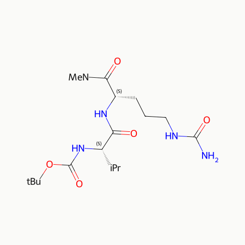 CNC(=O)[C@H](CCCNC(N)=O)NC(=O)[C@@H](NC(=O)OC(C)(C)C)C(C)C